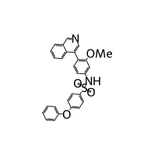 COc1cc(NS(=O)(=O)c2ccc(Oc3ccccc3)cc2)ccc1-c1cncc2ccccc12